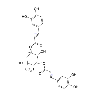 O=C(/C=C/c1ccc(O)c(O)c1)O[C@@H]1CC(O)(C(=O)O)C[C@@H](OC(=O)/C=C/c2ccc(O)c(O)c2)C1O